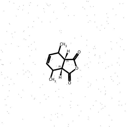 CC1C=CC(C)[C@@H]2C(=O)OC(=O)[C@H]12